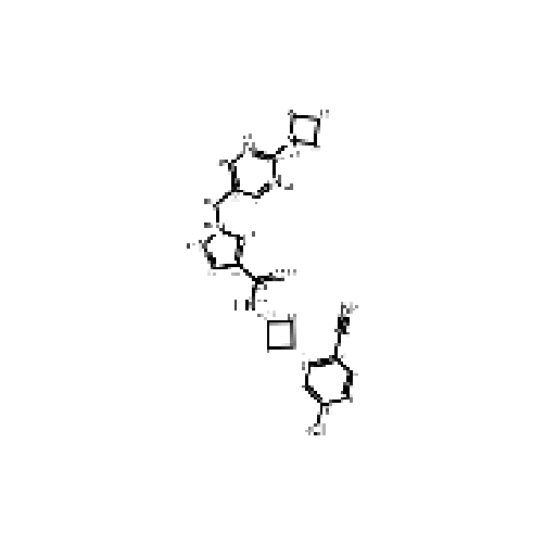 N#Cc1ccc(Cl)cc1[C@H]1C[C@@H](NC(=O)c2cnn(Cc3cnc(N4CCC4)nc3)n2)C1